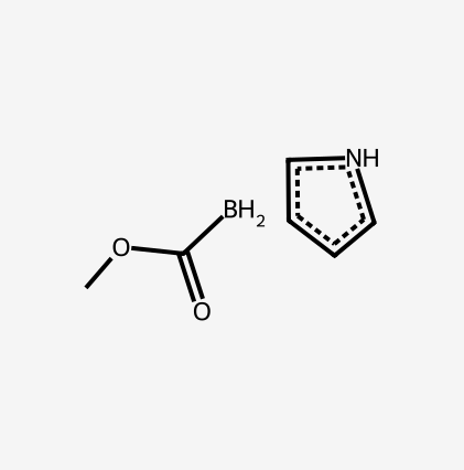 BC(=O)OC.c1cc[nH]c1